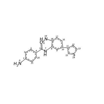 Nc1ccc(C(=O)Nc2cc(-c3ccsc3)ccc2N)cc1